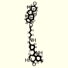 C[C@]12CCC(=O)C[C@@H]1CC[C@@H]1[C@@H]2CC[C@]2(C)[C@@H](OCCCCCNCc3ccc(-c4[nH]c5cc(F)cc6c5c4CCNC6=O)cc3)CC[C@@H]12